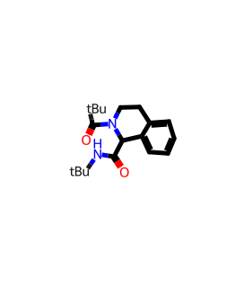 CC(C)(C)NC(=O)C1c2ccccc2CCN1C(=O)C(C)(C)C